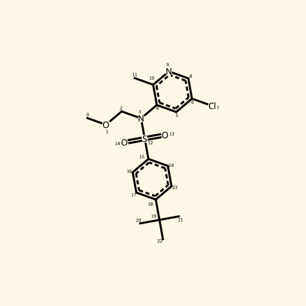 COCN(c1cc(Cl)cnc1C)S(=O)(=O)c1ccc(C(C)(C)C)cc1